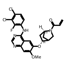 C=CC(=O)N1CC2C[C@H]1C[C@H]2Oc1cc2c(Nc3ccc(Cl)c(Cl)c3F)ncnc2cc1OC